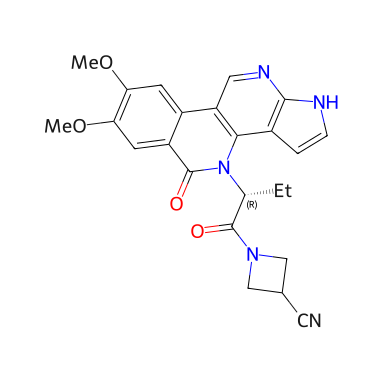 CC[C@H](C(=O)N1CC(C#N)C1)n1c(=O)c2cc(OC)c(OC)cc2c2cnc3[nH]ccc3c21